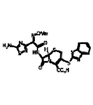 CO/N=C(\C(=O)NC1C(=O)N2C(C(=O)O)=C(Sc3nc4ccccc4s3)CS[C@H]12)c1nsc(N)n1